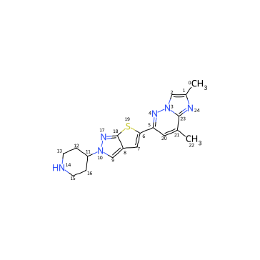 Cc1cn2nc(-c3cc4cn(C5CCNCC5)nc4s3)cc(C)c2n1